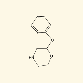 [c]1ccccc1OC1CNCCO1